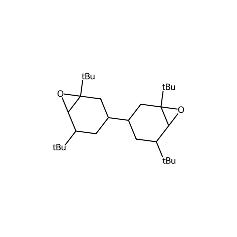 CC(C)(C)C1CC(C2CC(C(C)(C)C)C3OC3(C(C)(C)C)C2)CC2(C(C)(C)C)OC12